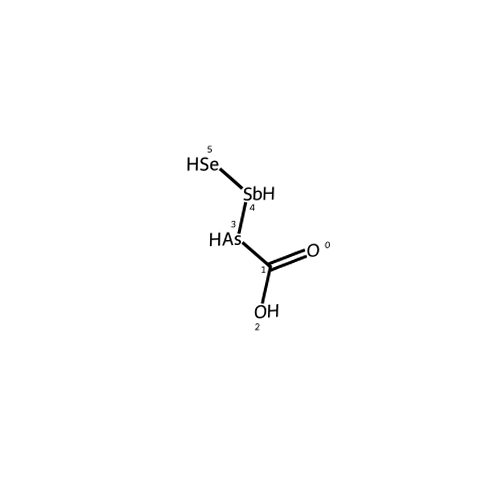 O=C(O)[AsH][SbH][SeH]